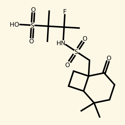 CC1(C)CCC(=O)C2(CS(=O)(=O)NC(C)(F)C(C)(C)S(=O)(=O)O)CCC12